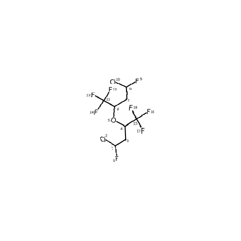 FC(Cl)CC(OC(CC(F)Cl)C(F)(F)F)C(F)(F)F